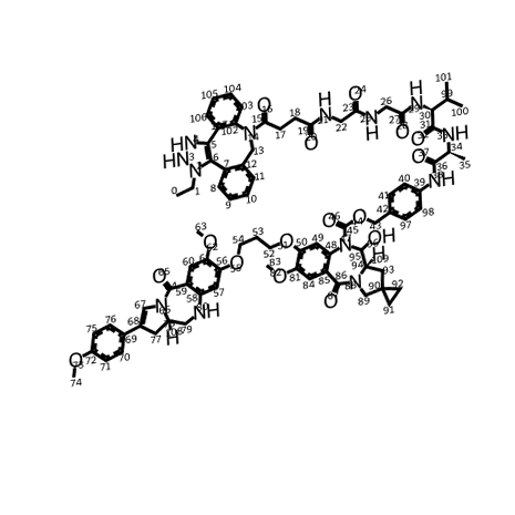 CCN1NNC2=C1c1ccccc1CN(C(=O)CCC(=O)NCC(=O)NCC(=O)N[C@H](C(=O)N[C@@H](C)C(=O)Nc1ccc(COC(=O)N3c4cc(OCCCOc5cc6c(cc5OC)C(=O)N5C=C(c7ccc(OC)cc7)C[C@H]5CN6)c(OC)cc4C(=O)N4CC5(CC5)C[C@H]4C3O)cc1)C(C)C)c1ccccc12